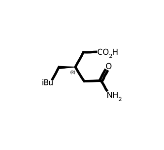 CCC(C)C[C@H](CC(N)=O)CC(=O)O